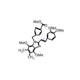 COC(=O)c1ccc(Cn2c(/C=C/c3ccc(OC)c(OC)c3)nc3c(OC)c(C)c(C)c(OC)c32)cc1